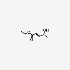 CCOC(=O)/C=C/[C@H](C)O